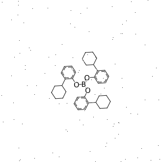 c1ccc(C2CCCCC2)c(OB(Oc2ccccc2C2CCCCC2)Oc2ccccc2C2CCCCC2)c1